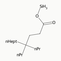 CCCCCCCC(CCC)(CCC)CCC(=O)O[SiH3]